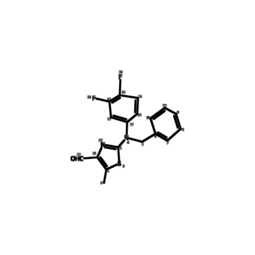 Cc1sc(N(Cc2ccccc2)c2ccc(F)c(F)c2)nc1C=O